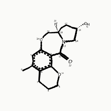 Cc1cc2c(c3c1CCCO3)C(=O)N1C[C@@H](O)C[C@@H]1CO2